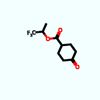 CC(OC(=O)C1CCC(=O)CC1)C(F)(F)F